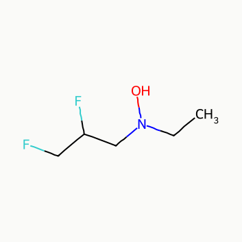 CCN(O)CC(F)CF